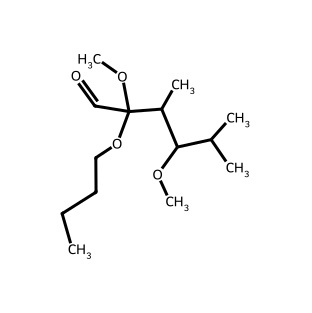 CCCCOC(C=O)(OC)C(C)C(OC)C(C)C